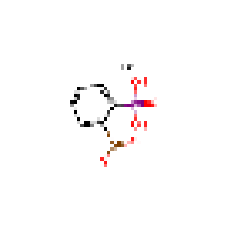 O=S([O-])c1ccccc1P(=O)(O)O.[Li+]